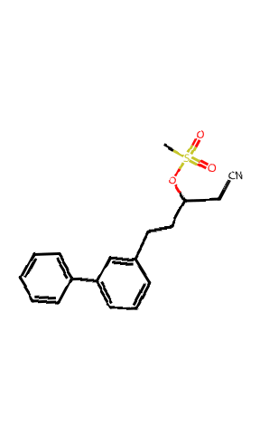 CS(=O)(=O)OC(CC#N)CCc1cccc(-c2ccccc2)c1